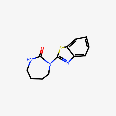 O=C1NCCCCN1c1nc2ccccc2s1